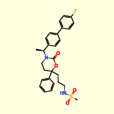 C[C@@H](c1ccc(-c2ccc(F)cc2)cc1)N1CCC(CCCNS(C)(=O)=O)(c2ccccc2)OC1=O